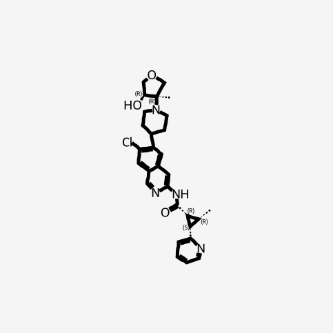 C[C@H]1[C@@H](C(=O)Nc2cc3cc(C4CCN([C@]5(C)COC[C@@H]5O)CC4)c(Cl)cc3cn2)[C@H]1c1ccccn1